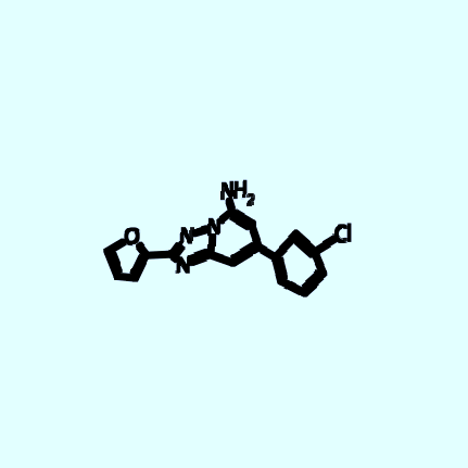 Nc1cc(-c2cccc(Cl)c2)cc2nc(-c3ccco3)nn12